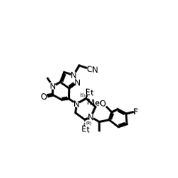 CC[C@H]1CN(C(C)c2ccc(F)cc2OC)[C@H](CC)CN1c1cc(=O)n(C)c2cn(CC#N)nc12